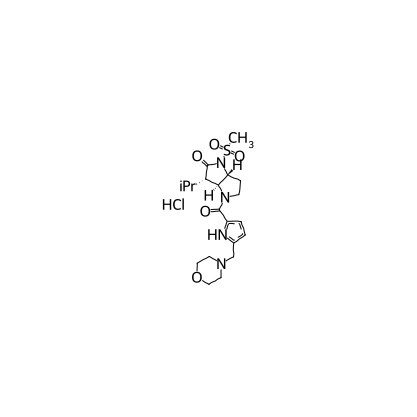 CC(C)[C@@H]1C(=O)N(S(C)(=O)=O)[C@@H]2CCN(C(=O)c3ccc(CN4CCOCC4)[nH]3)[C@H]21.Cl